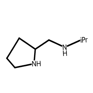 CC(C)NCC1CCCN1